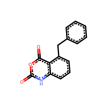 O=c1[nH]c2cccc(Cc3ccccc3)c2c(=O)o1